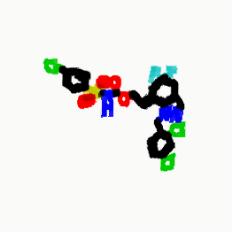 O=C(NS(=O)(=O)c1ccc(Cl)cc1)OC/C=C1\CC(F)(F)Cc2cnn(Cc3ccc(Cl)cc3Cl)c21